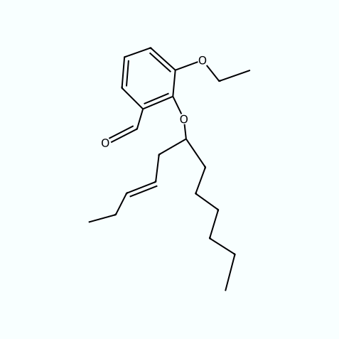 CCC=CCC(CCCCCC)Oc1c(C=O)cccc1OCC